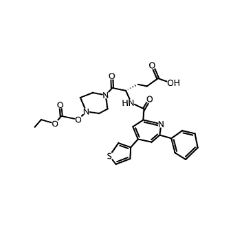 CCOC(=O)ON1CCN(C(=O)[C@H](CCC(=O)O)NC(=O)c2cc(-c3ccsc3)cc(-c3ccccc3)n2)CC1